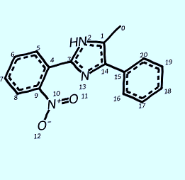 Cc1[nH]c(-c2ccccc2[N+](=O)[O-])nc1-c1ccccc1